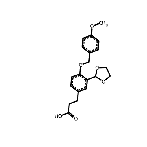 COc1ccc(COc2ccc(CCC(=O)O)cc2C2OCCO2)cc1